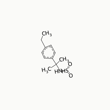 CCc1ccc(C(C)(C)N[SH](=O)=O)cc1